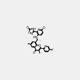 Cc1cc([C@@H](C)Nc2ccc(Cl)nc2-c2noc(=O)[nH]2)c2oc(-c3ccc(F)cn3)c(C)c(=O)c2c1